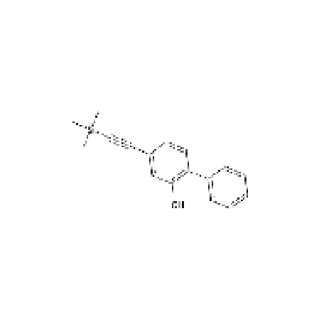 C[Si](C)(C)C#Cc1ccc(-c2ccccc2)c(O)c1